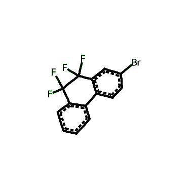 FC1(F)c2ccccc2-c2ccc(Br)cc2C1(F)F